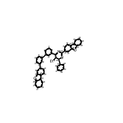 CCC1C(c2cccc(-c3cccc(-c4ccc5c(c4)oc4ccccc45)c3)c2)=NC(c2ccc3c(c2)oc2ccccc23)=NC1c1ccccc1